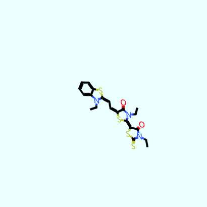 CCN1C(=O)C(=c2sc(=CC=C3Sc4ccccc4N3CC)c(=O)n2CC)SC1=S